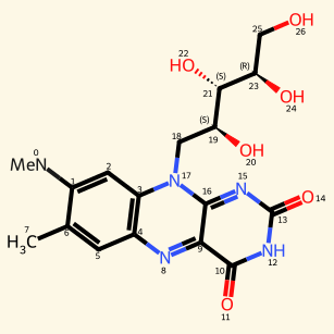 CNc1cc2c(cc1C)nc1c(=O)[nH]c(=O)nc-1n2C[C@H](O)[C@H](O)[C@H](O)CO